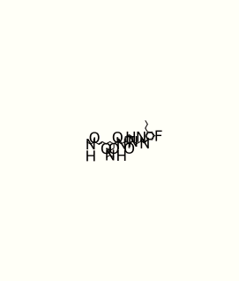 CCCc1cc(F)cc2nc(Cn3cccc(NC(=O)[C@H](CC/C=C/C(=O)NC)OC(=O)N(C)C)c3=O)[nH]c12